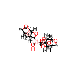 OB(B1O[C@H]2[C@@H]3OC[C@H](O3)[C@@H](O1)[C@@H]2O)C1O[C@H]2C3OC[C@H](C[C@H]12)O3